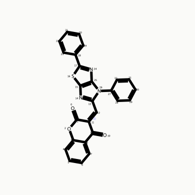 O=C1Oc2ccccc2C(=O)/C1=C/c1nc2sc(-c3ccccc3)nc2n1-c1ccccc1